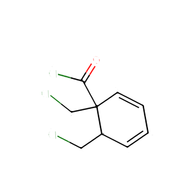 O=C(Cl)C1(CCl)C=CC=CC1CCl